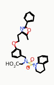 Cc1oc(-c2ccccc2)nc1CCOc1cccc(CN(CC(=O)O)S(=O)(=O)N2CCCc3ccccc32)c1